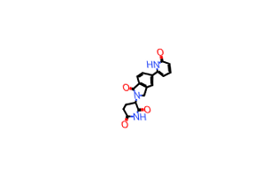 O=C1CCC(N2Cc3cc(-c4cccc(=O)[nH]4)ccc3C2=O)C(=O)N1